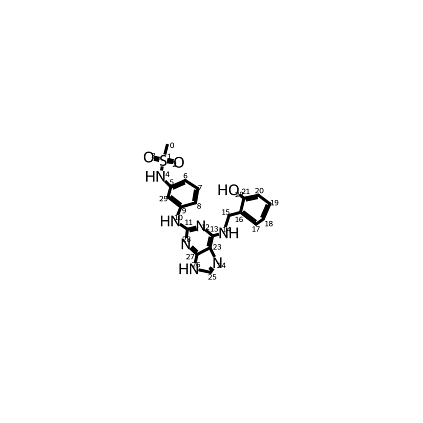 CS(=O)(=O)Nc1cccc(Nc2nc(NCc3ccccc3O)c3nc[nH]c3n2)c1